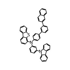 c1cc(-c2ccc(N(c3cccc(-n4c5ccccc5c5ccccc54)c3)c3cccc4c3sc3ccccc34)cc2)cc(-c2ccc3ccccc3c2)c1